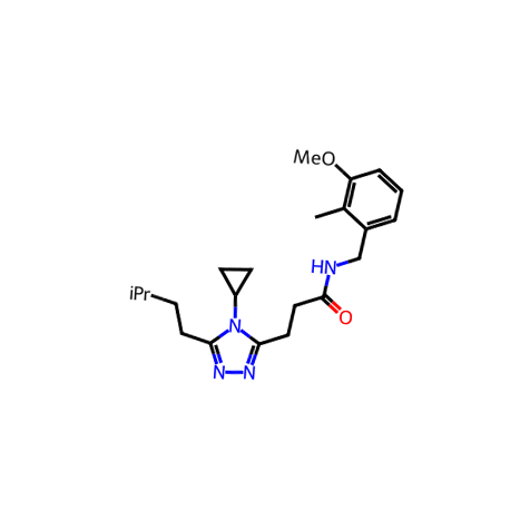 COc1cccc(CNC(=O)CCc2nnc(CCC(C)C)n2C2CC2)c1C